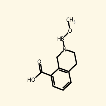 COBN1CCc2cccc(C(=O)O)c2C1